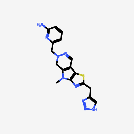 Cn1c2c(c3sc(Cc4c[nH]nn4)nc31)C=NN(Cc1cccc(N)n1)C2